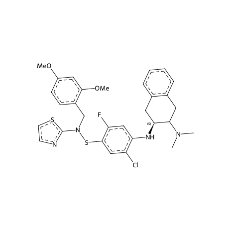 COc1ccc(CN(Sc2cc(Cl)c(N[C@H]3Cc4ccccc4CC3N(C)C)cc2F)c2nccs2)c(OC)c1